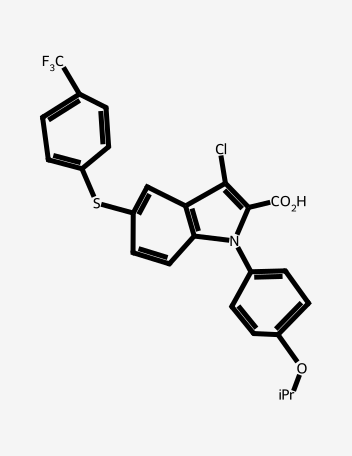 CC(C)Oc1ccc(-n2c(C(=O)O)c(Cl)c3cc(Sc4ccc(C(F)(F)F)cc4)ccc32)cc1